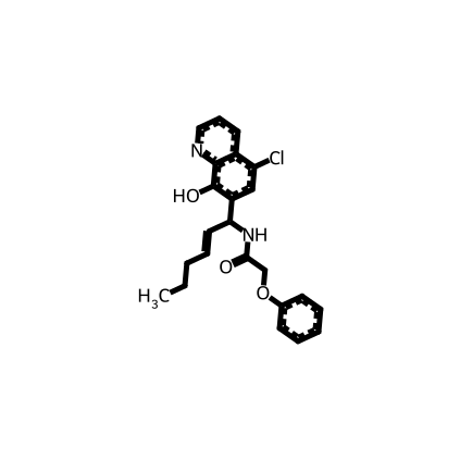 CCC/C=C/C(NC(=O)COc1ccccc1)c1cc(Cl)c2cccnc2c1O